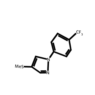 CSc1cnn(-c2ccc(C(F)(F)F)cc2)c1